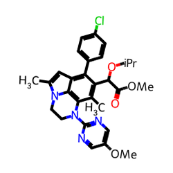 COC(=O)C(OC(C)C)c1c(C)c2c3c(cc(C)n3CCN2c2ncc(OC)cn2)c1-c1ccc(Cl)cc1